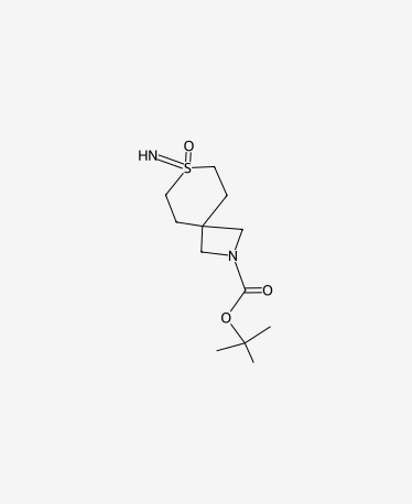 CC(C)(C)OC(=O)N1CC2(CCS(=N)(=O)CC2)C1